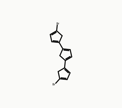 BrC1=CC=C(C2=CC=C(C3=CC=C(Br)C3)C2)C1